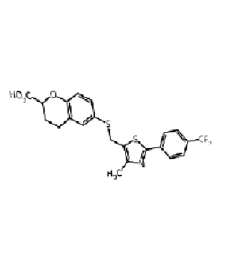 Cc1nc(-c2ccc(C(F)(F)F)cc2)sc1CSc1ccc2c(c1)CCC(C(=O)O)O2